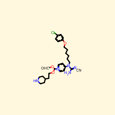 N#CN=C(N)N(CCCCCCOc1ccc(Cl)cc1)c1cc[n+](C(OC=O)OCCC2CCNCC2)cc1